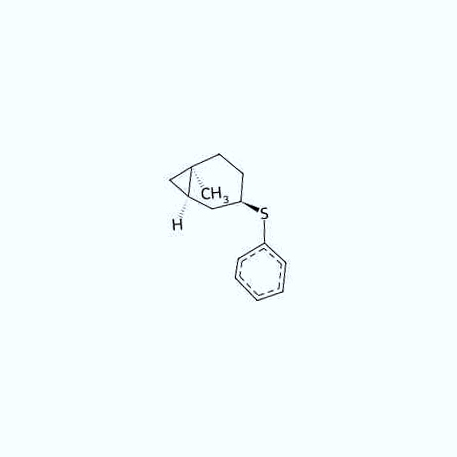 C[C@]12CC[C@@H](Sc3ccccc3)C[C@H]1C2